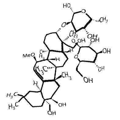 CO[C@@H]1C=C2[C@@H]3CC(C)(C)CC[C@]3(CO)[C@H](O)C[C@@]2(C)[C@]2(C)CC[C@H]3[C@](C)(CO)[C@@H](O[C@@H]4[C@@H](O[C@@H]5O[C@H](CO)[C@@H](O)[C@H](O)[C@H]5O)[C@@H](O)[C@@H](C)O[C@H]4O)CC[C@]3(C)[C@@H]12